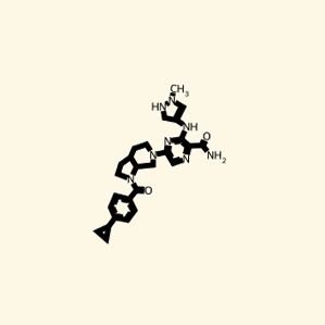 CN1C=C(Nc2nc(N3CCC4CCN(C(=O)c5ccc(C6CC6)cc5)C4C3)cnc2C(N)=O)CN1